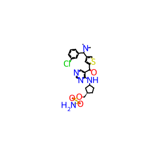 CN(C)C(c1cccc(Cl)c1)c1csc(C(=O)c2cncnc2NC2CC[C@@H](COS(N)(=O)=O)C2)c1